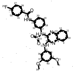 COc1cc(Nc2nc3ccccc3nc2N(c2cccc(NC(=O)c3ccc(F)cc3)c2)[SH](=O)=O)cc(OC)c1